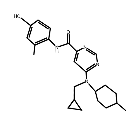 Cc1cc(O)ccc1NC(=O)c1cc(N(CC2CC2)C2CCC(C)CC2)ncn1